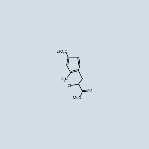 CCOC(=O)c1ccc(CC(Cl)C(=O)OC)c([N+](=O)[O-])c1